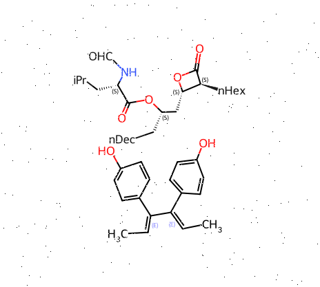 C/C=C(/C(=C/C)c1ccc(O)cc1)c1ccc(O)cc1.CCCCCCCCCCC[C@@H](C[C@@H]1OC(=O)[C@H]1CCCCCC)OC(=O)[C@H](CC(C)C)NC=O